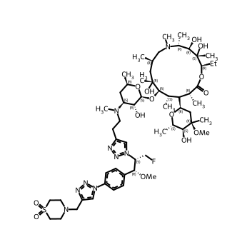 CC[C@H]1OC(=O)[C@H](C)C([C@H]2C[C@@](C)(OC)[C@@H](O)[C@H](C)O2)[C@H](C)[C@@H](O[C@@H]2O[C@H](C)C[C@H](N(C)CCc3cn([C@H](CF)[C@H](OC)c4ccc(-n5cc(CN6CCS(=O)(=O)CC6)nn5)cc4)nn3)[C@H]2O)[C@](C)(O)C[C@@H](C)CN(C)[C@H](C)[C@@H](O)[C@]1(C)O